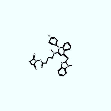 CN(CCCC(=O)ON1C(=O)CCC1=O)C1=CC(=CC2Sc3ccccc3N2C)c2ccccc2N1c1ccccc1.I